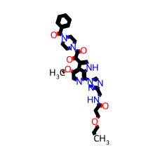 CCCOCCC(=O)NCc1ncn(-c2ncc(OC)c3c(C(=O)C(=O)N4CCN(C(=O)c5ccccc5)CC4)c[nH]c23)n1